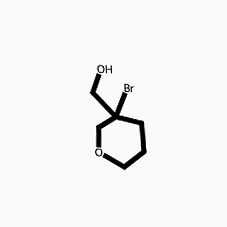 OCC1(Br)CC[CH]OC1